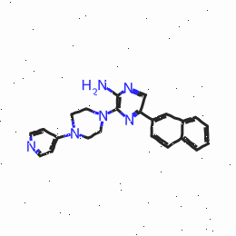 Nc1ncc(-c2ccc3ccccc3c2)nc1N1CCN(c2ccncc2)CC1